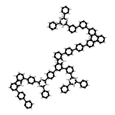 c1ccc(-c2ccc(-c3cccc4c3sc3c(-c5ccc(-c6nc(-c7ccccc7)nc(-c7ccc(-c8cc(-c9cccc(-c%10nc(-c%11ccccc%11)nc(-c%11ccccc%11)n%10)c9)c9sc%10c(-c%11ccc(-c%12ccc(-c%13ccc%14c%15ccccc%15c%15ccc(-c%16cccc(-c%17cccc(-c%18nc(-c%19ccccc%19)nc(-c%19ccccc%19)n%18)c%17)c%16)cc%15c%14c%13)cc%12)cc%11)cccc%10c9c8)cc7)n6)cc5)cccc34)cc2)cc1